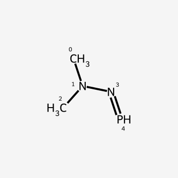 CN(C)N=P